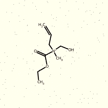 C=CC[N+](C)(CO)C(=O)OCC